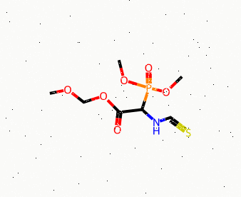 COCOC(=O)C(NC=S)P(=O)(OC)OC